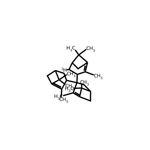 [2H]C1C2CC(=C(C)C1C1(C3CC4CC(=C3C)C4(C)C)CC3CC(=C1C)C3(C)C)C2(C)C